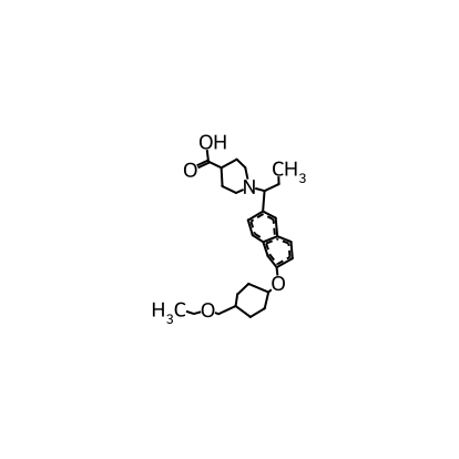 CCOCC1CCC(Oc2ccc3cc(C(CC)N4CCC(C(=O)O)CC4)ccc3c2)CC1